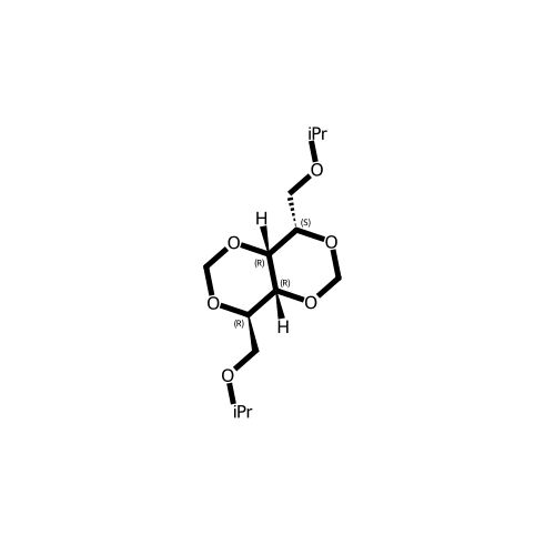 CC(C)OC[C@@H]1OCO[C@H]2[C@@H]1OCO[C@@H]2COC(C)C